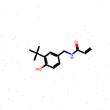 C=CC(=O)NCc1ccc(O)c(C(C)(C)C)c1